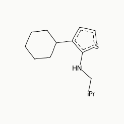 CC(C)CNc1sccc1C1CCCCC1